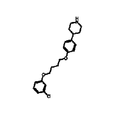 Clc1cccc(OCCCCOc2ccc(C3CCNCC3)cc2)c1